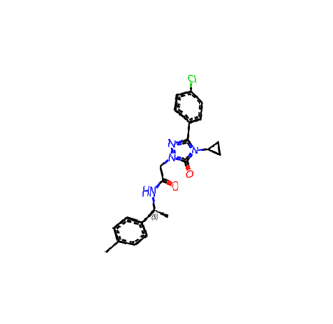 Cc1ccc([C@H](C)NC(=O)Cn2nc(-c3ccc(Cl)cc3)n(C3CC3)c2=O)cc1